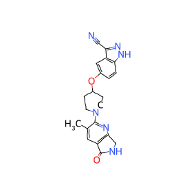 Cc1cc2c(nc1N1CCC(Oc3ccc4[nH]nc(C#N)c4c3)CC1)CNC2=O